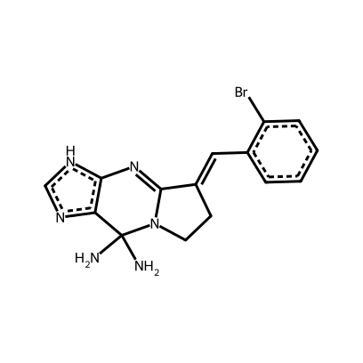 NC1(N)c2nc[nH]c2N=C2C(=Cc3ccccc3Br)CCN21